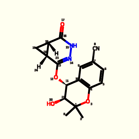 CC1(C)Oc2ccc(C#N)cc2[C@@H](OC2=NNC(=O)[C@H]3C[C@@H]23)[C@@H]1O